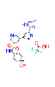 Cc1c[nH]c(-c2cc(-c3cncc(S(=O)(=O)NC4CCC(C)(O)CC4)c3)ccn2)n1.O=C(O)C(F)(F)F